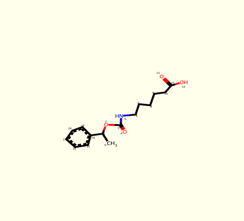 CC(OC(=O)NCCCCCC(=O)O)c1ccccc1